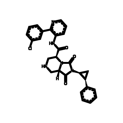 O=C(Nc1cccnc1-c1cccc(Cl)c1)[C@@H]1CNC[C@H]2C(=O)N([C@H]3C[C@@H]3c3ccccc3)C(=O)N12